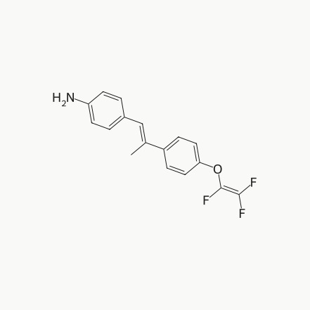 C/C(=C\c1ccc(N)cc1)c1ccc(OC(F)=C(F)F)cc1